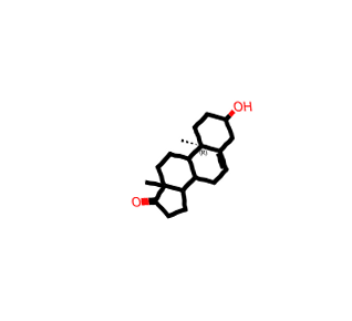 CC12CCC3C(CC=C4CC(O)CC[C@@]43C)C1CCC2=O